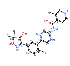 Cc1cnccc1C(=O)Nc1cnc(-c2cc(C3=NOC(C)(C)C3=O)ccc2C)cn1